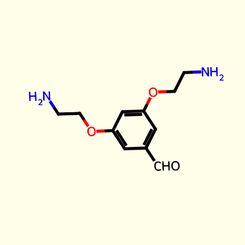 NCCOc1cc(C=O)cc(OCCN)c1